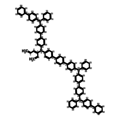 C=C/C=C(\C=C)N(c1ccc(-c2ccc(-c3ccc(N(C4=CCCC=C4)c4ccc(-c5ccc(N(c6ccccc6)c6ccc(-c7ccccc7)cc6)cc5)cc4)cc3)cc2)cc1)c1ccc(-c2ccc(N(c3ccccc3)c3ccc(-c4ccccc4)cc3)cc2)cc1